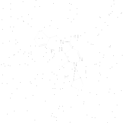 O=c1c2nn(Cc3ccccc3F)c(O)c2cnn1C1[C@H]2COC[C@@H]12